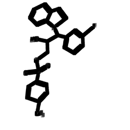 Cc1ccc(S(=O)(=O)OCC(O)C(c2cccc(F)c2)n2ccc3ccccc32)cc1